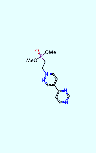 COP(=O)(CC[n+]1ccc(-c2ccncn2)cn1)OC